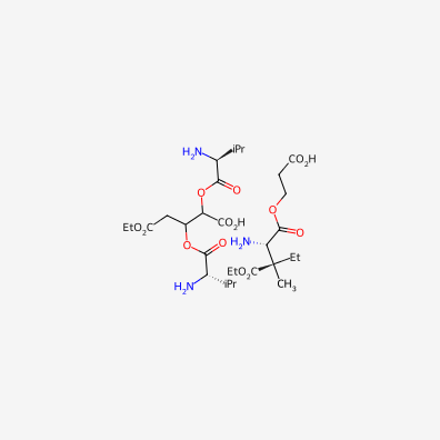 CCOC(=O)CC(OC(=O)[C@@H](N)C(C)C)C(OC(=O)[C@@H](N)C(C)C)C(=O)O.CCOC(=O)[C@](C)(CC)[C@H](N)C(=O)OCCC(=O)O